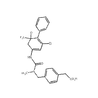 CN(Cc1ccc(CC(=O)O)cc1)C(=O)NC1=CC(Cl)=C(c2ccccc2)C(Cl)(C(F)(F)F)C1